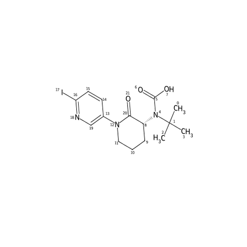 CC(C)(C)N(C(=O)O)[C@@H]1CCCN(c2ccc(I)nc2)C1=O